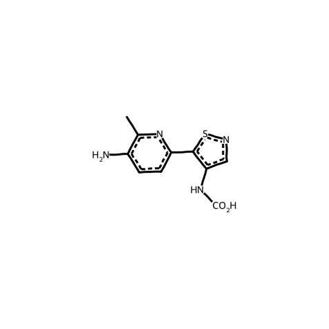 Cc1nc(-c2sncc2NC(=O)O)ccc1N